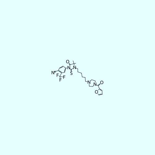 CC1(C)C(=O)N(c2ccc(C#N)c(C(F)(F)F)c2)C(=S)N1CCCCCCN1CCN(C(=O)c2ccco2)CC1